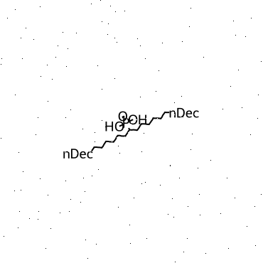 CCCCCCCCCCCCCCCCC(CCCCCCCCCCCCCCCC)P(=O)(O)O